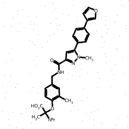 CCCC(C)(Oc1ccc(CNC(=O)c2cc(-c3ccc(-c4ccoc4)cc3)n(C)n2)cc1C)C(=O)O